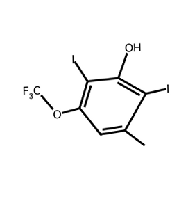 Cc1cc(OC(F)(F)F)c(I)c(O)c1I